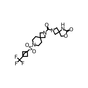 O=C1NC2(CO1)CN(C(=O)N1CC3(CCN(S(=O)(=O)C45CC(C(F)(F)F)(C4)C5)CC3)C1)C2